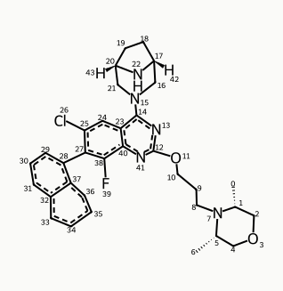 C[C@@H]1COC[C@H](C)N1CCCOc1nc(N2C[C@H]3CC[C@@H](C2)N3)c2cc(Cl)c(-c3cccc4ccccc34)c(F)c2n1